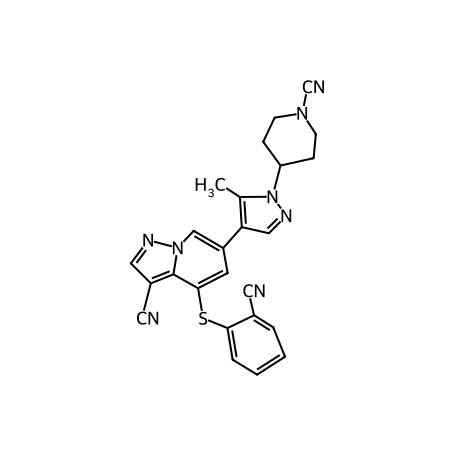 Cc1c(-c2cc(Sc3ccccc3C#N)c3c(C#N)cnn3c2)cnn1C1CCN(C#N)CC1